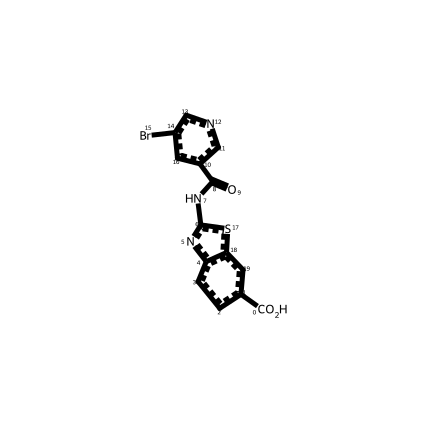 O=C(O)c1ccc2nc(NC(=O)c3cncc(Br)c3)sc2c1